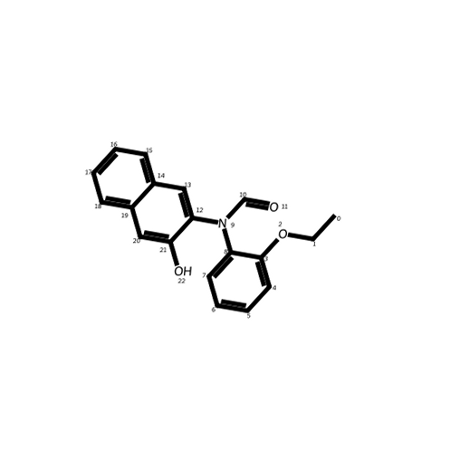 CCOc1ccccc1N(C=O)c1cc2ccccc2cc1O